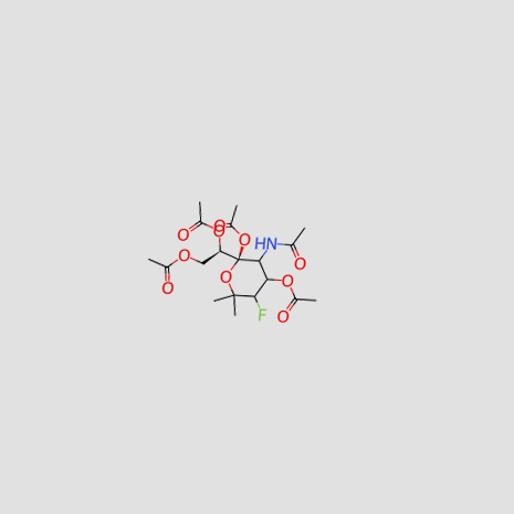 CC(=O)NC1C(OC(C)=O)C(F)C(C)(C)O[C@]1(OC(C)=O)[C@@H](COC(C)=O)OC(C)=O